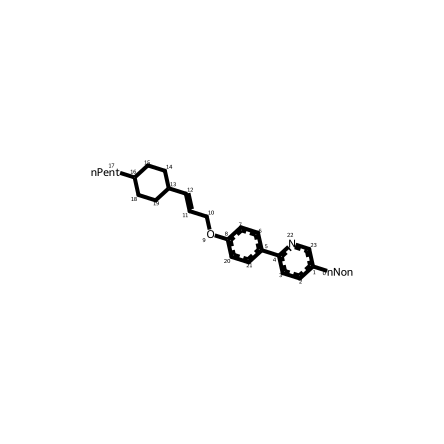 CCCCCCCCCc1ccc(-c2ccc(OCC=CC3CCC(CCCCC)CC3)cc2)nc1